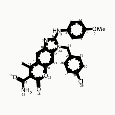 COc1ccc(Nc2nc3cc4c(C)c(C(N)=O)c(=O)oc4cc3n2Cc2ccc(Cl)cc2)cc1